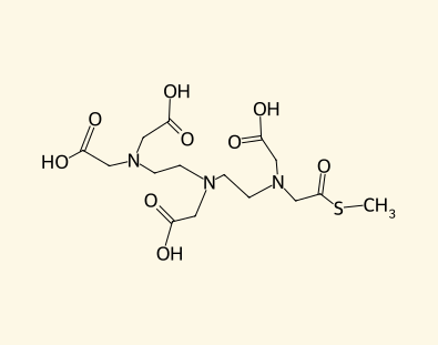 CSC(=O)CN(CCN(CCN(CC(=O)O)CC(=O)O)CC(=O)O)CC(=O)O